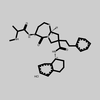 CNC(C)C(=O)N[C@H]1CCS[C@H]2CC(CCc3ccccc3)(C(=O)N[C@@H]3CCCc4ccccc43)CN2C1=O.Cl